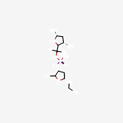 BCB[C@H]1C[C@@H](NP(O)(=S)OC(C)(CC)C2O[C@@H](B)C[C@H]2N)C(CCCC)O1